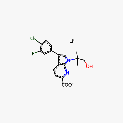 CC(C)(CO)n1cc(-c2ccc(Cl)c(F)c2)c2ccc(C(=O)[O-])nc21.[Li+]